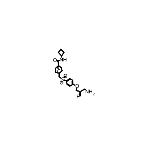 NC/C(=C/F)COc1ccc(S(=O)(=O)CC23CCC(C(=O)NC4CCC4)(CC2)CC3)cc1